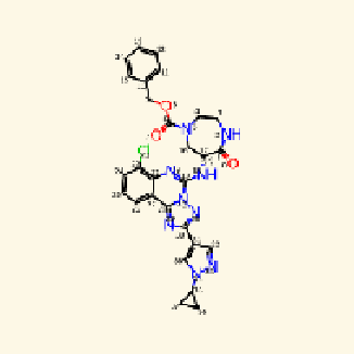 O=C1NCCN(C(=O)OCc2ccccc2)C[C@H]1Nc1nc2c(Cl)cccc2c2nc(-c3cnn(C4CC4)c3)nn12